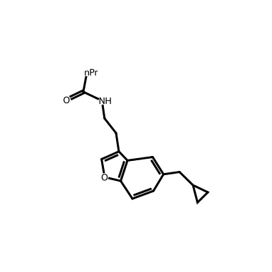 CCCC(=O)NCCc1coc2ccc(CC3CC3)cc12